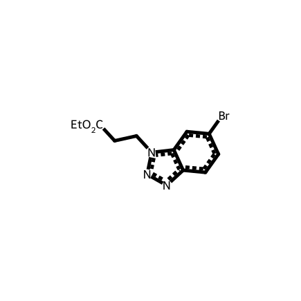 CCOC(=O)CCn1nnc2ccc(Br)cc21